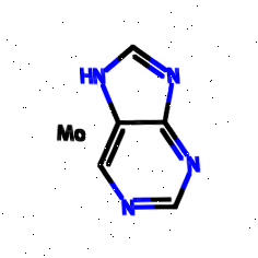 [Mo].c1ncc2[nH]cnc2n1